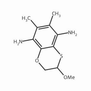 COC1COc2c(N)c(C)c(C)c(N)c2S1